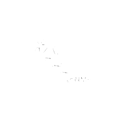 CNC(=O)/C=C/C=C/c1ccc2c(c1)OCO2